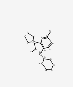 CC[Si](CC)(CC)c1cc(C)ccc1OC1CCCCO1